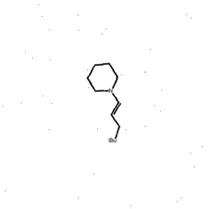 CC[C](C)CC=CN1CCCCC1